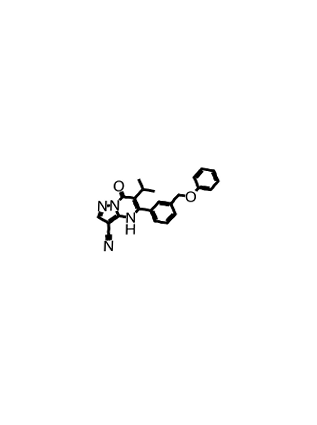 CC(C)c1c(-c2cccc(COc3ccccc3)c2)[nH]c2c(C#N)cnn2c1=O